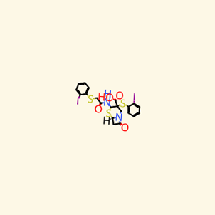 O=C(CSc1ccccc1I)NC1S[C@@H]2CC(=O)N2CC1(Sc1ccccc1I)C(=O)O